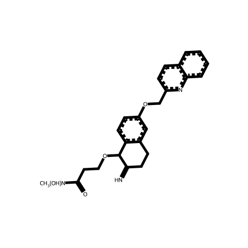 CN(O)C(=O)CCOC1C(=N)CCc2cc(OCc3ccc4ccccc4n3)ccc21